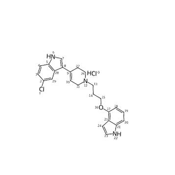 Cl.Clc1ccc2[nH]cc(C3=CCN(CCCOc4cccc5[nH]ccc45)CC3)c2c1